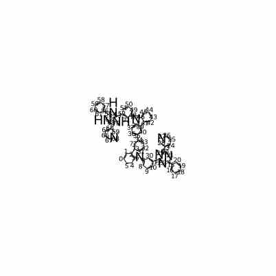 C1=CC2=C(CC1)N(c1cccc(-c3nc(-c4ccccc4)nc(-c4cccnc4)n3)c1)C1=CC=C(c3ccc4c(c3)c3ccccc3n4-c3cccc(C4NC(c5ccccc5)NC(c5cccnc5)N4)c3)CC12